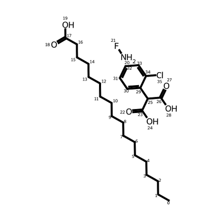 CCCCCCCCCCCCCCCCCC(=O)O.NF.O=C(O)C(C(=O)O)c1ccccc1Cl